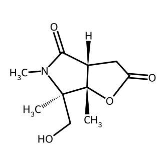 CN1C(=O)[C@@H]2CC(=O)O[C@]2(C)[C@@]1(C)CO